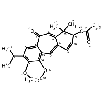 COc1c(C(C)C)cc2c(=O)cc3c(cc2c1OC)C=CC(OC(C)=O)C3(C)C